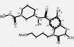 COCCCCN1C(=O)C(C)Sc2cc(C(F)(F)F)c(C(=O)N(C(C)C)[C@@H]3CCCN(C(=O)OC(C)(C)C)C3)cc21